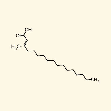 CCCCCCCCCCCCCCC(C)=CC(=O)O